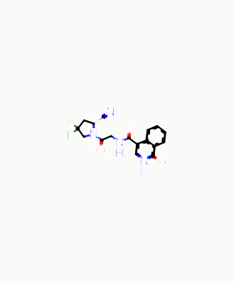 N#C[C@@H]1CC(F)(F)CN1C(=O)CNC(=O)c1c[nH]c(=O)c2ccccc12